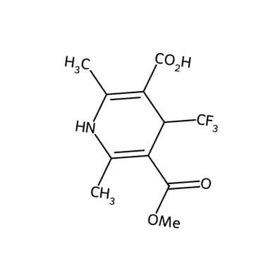 COC(=O)C1=C(C)NC(C)=C(C(=O)O)C1C(F)(F)F